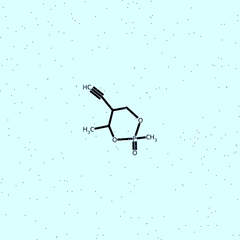 C#CC1COP(C)(=O)OC1C